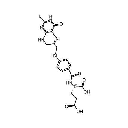 O=C(O)CC[C@H](NC(=O)c1ccc(NCC2=Nc3c(nc(I)[nH]c3=O)NC2)cc1)C(=O)O